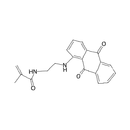 C=C(C)C(=O)NCCNc1cccc2c1C(=O)c1ccccc1C2=O